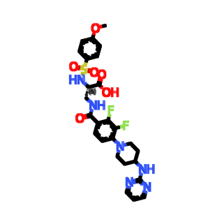 COc1ccc(S(=O)(=O)N[C@@H](CNC(=O)c2ccc(N3CCC(Nc4ncccn4)CC3)c(F)c2F)C(=O)O)cc1